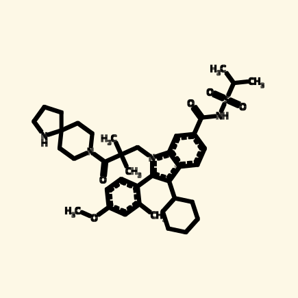 COc1ccc(-c2c(C3CCCCC3)c3ccc(C(=O)NS(=O)(=O)C(C)C)cc3n2CC(C)(C)C(=O)N2CCC3(CCCN3)CC2)c(C)c1